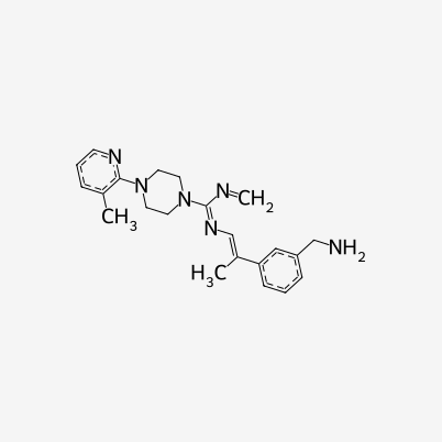 C=N/C(=N\C=C(/C)c1cccc(CN)c1)N1CCN(c2ncccc2C)CC1